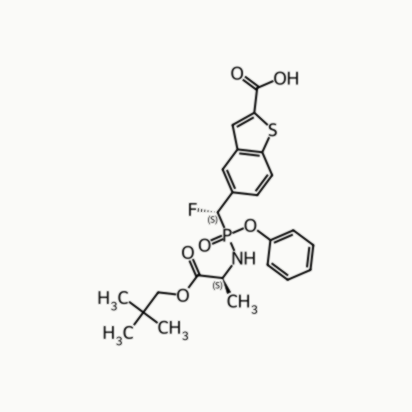 C[C@H](NP(=O)(Oc1ccccc1)[C@H](F)c1ccc2sc(C(=O)O)cc2c1)C(=O)OCC(C)(C)C